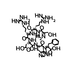 N=C(N)NCCC[C@H](NC(=O)[C@H](CCCNC(=N)N)NC(=O)[C@@H](N)CO)C(=O)N[C@@H](CC(=O)O)C(=O)N[C@@H](Cc1c[nH]cn1)C(=O)N[C@@H](Cc1ccccc1)C(=O)O